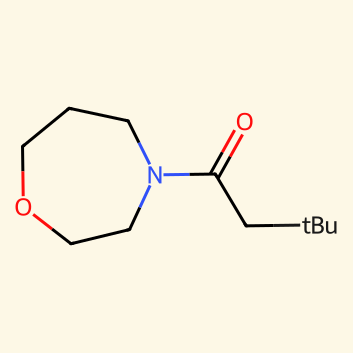 CC(C)(C)CC(=O)N1CCCOCC1